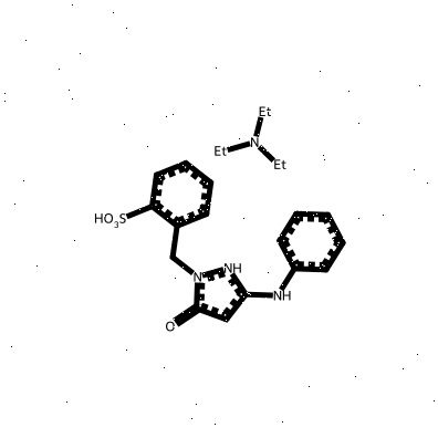 CCN(CC)CC.O=c1cc(Nc2ccccc2)[nH]n1Cc1ccccc1S(=O)(=O)O